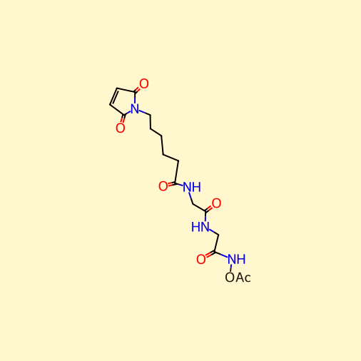 CC(=O)ONC(=O)CNC(=O)CNC(=O)CCCCCN1C(=O)C=CC1=O